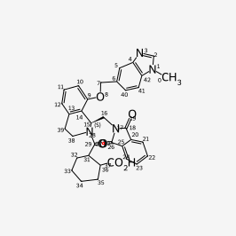 Cn1cnc2cc(COc3cccc4c3[C@@H](CN3C(=O)c5ccccc5C3=O)N(C(=O)C3CCCCC3C(=O)O)CC4)ccc21